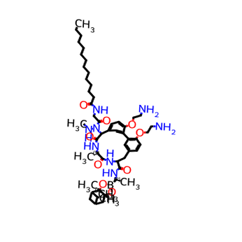 CCCCCCCCCCCCCC(=O)NCC(=O)N(NC)C1C(=O)N[C@@H](C)C(=O)NC(C(=O)N[C@@H](C)B2O[C@@H]3CC4CC(C4(C)C)[C@]3(C)O2)Cc2ccc(OCCN)c(c2)-c2cc1ccc2OCCN